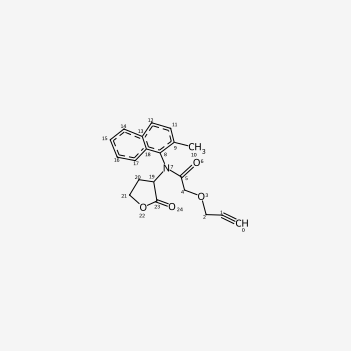 C#CCOCC(=O)N(c1c(C)ccc2ccccc12)C1CCOC1=O